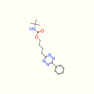 CC(C)(C)NC(=O)OCCCCc1nnc(-c2ccccc2)nn1